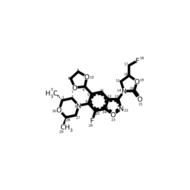 C[C@@H]1CN(c2c(C3OCCO3)cc3c(N4CC(CF)OC4=O)noc3c2F)C[C@@H](C)O1